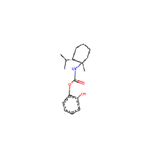 CC(C)[C@@H]1CCCCC1(C)NC(=O)Oc1ccccc1O